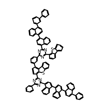 c1ccc(-c2cccc(-c3ccc(-c4ccc(-c5nc(-c6cccc(-c7ccc(-c8nc(-c9ccccc9)nc(-c9ccc(-c%10ccc(-c%11ccc(-c%12ccccc%12)c%12ccccc%11%12)c%11ccccc%10%11)c%10ccccc9%10)n8)c8sc9ccccc9c78)c6)nc(-c6cccc7c6sc6ccccc67)n5)c5ccccc45)c4ccccc34)c2)cc1